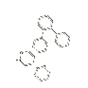 C1=CNOC=C1.c1ccc(-c2ccccc2-c2ccccc2)cc1.c1cnnnc1